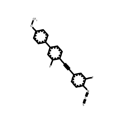 Fc1cc(-c2ccc(OC(F)(F)F)cc2)ccc1C#Cc1ccc(N=C=S)c(F)c1